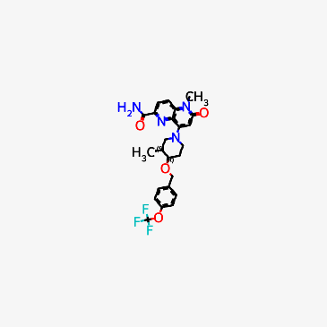 C[C@H]1CN(c2cc(=O)n(C)c3ccc(C(N)=O)nc23)CC[C@H]1OCc1ccc(OC(F)(F)F)cc1